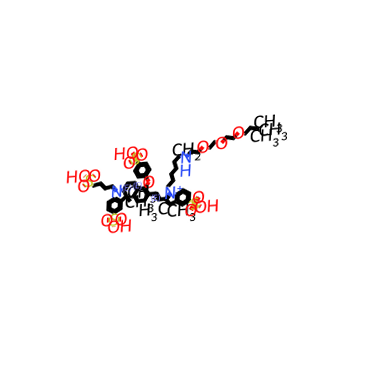 C=C(CCCCC[N+]1=C(/C=C/C2=C(Oc3ccc(S(=O)(=O)O)cc3)C(=C/C=C3/N(CCCCS(=O)(=O)O)c4ccc(S(=O)(=O)O)cc4C3(C)C)/CCC2)C(C)(C)c2cc(S(=O)(=O)O)ccc21)NCCOCCOCCOCCC(C)(C)C